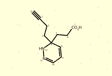 C#CCCC1(CCC(=O)O)C=CC=NN1